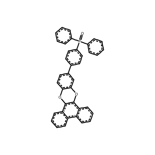 O=P(c1ccccc1)(c1ccccc1)c1ccc(-c2ccc3c(c2)Oc2c(c4ccccc4c4ccccc24)O3)cc1